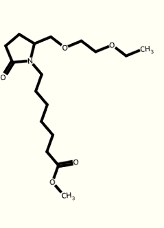 CCOCCOCC1CCC(=O)N1CCCCCCC(=O)OC